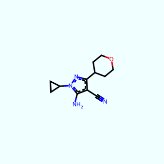 N#Cc1c(C2CCOCC2)nn(C2CC2)c1N